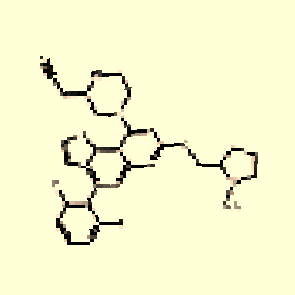 CN1CCCC1COc1nc(N2CCNC(CC#N)C2)c2c(cc(-c3c(F)cccc3F)c3ccoc32)n1